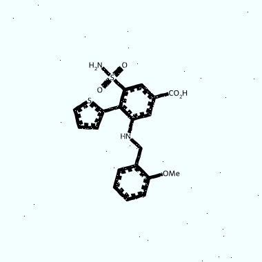 COc1ccccc1CNc1cc(C(=O)O)cc(S(N)(=O)=O)c1-c1cccs1